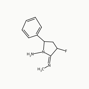 C/N=C1/C(F)CC(c2ccccc2)N1N